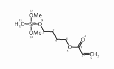 C=CC(=O)OCCCCO[Si](C)(OC)OC